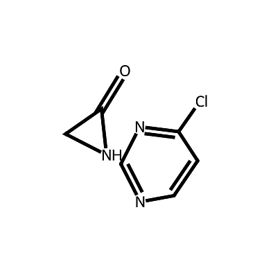 Clc1ccncn1.O=C1CN1